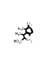 Cc1c(C(F)(F)F)ccc(F)c1C(C)C(N)C(=O)O